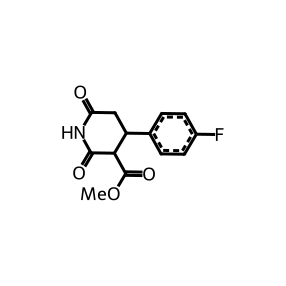 COC(=O)C1C(=O)NC(=O)CC1c1ccc(F)cc1